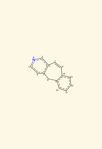 C1=Cc2cnccc2Cc2ccccc21